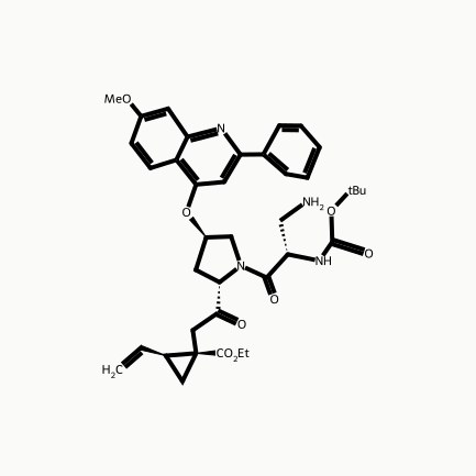 C=C[C@@H]1C[C@]1(CC(=O)[C@@H]1C[C@@H](Oc2cc(-c3ccccc3)nc3cc(OC)ccc23)CN1C(=O)[C@H](CN)NC(=O)OC(C)(C)C)C(=O)OCC